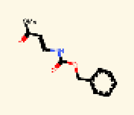 COC(=O)C=CNC(=O)OCc1ccccc1